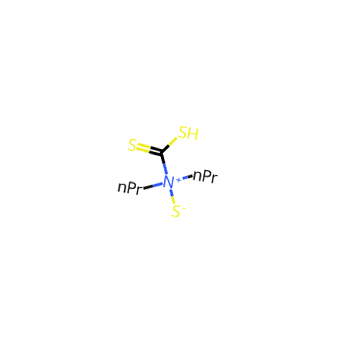 CCC[N+]([S-])(CCC)C(=S)S